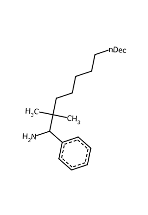 CCCCCCCCCCCCCCCC(C)(C)C(N)c1ccccc1